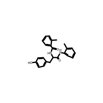 Cc1ccccc1NC(=O)C(Cc1ccc(O)cc1)NC(=O)c1ccccc1C